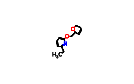 CCc1cccc(OCC2C=CCCO2)n1